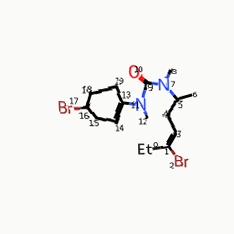 CC/C(Br)=C\CC(C)N(C)C(=O)N(C)C1=CCC(Br)CC1